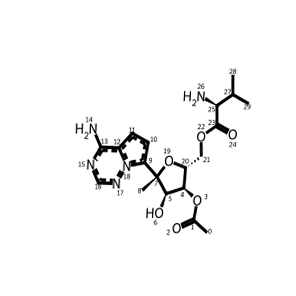 CC(=O)O[C@H]1[C@@H](O)[C@](C)(c2ccc3c(N)ncnn23)O[C@@H]1COC(=O)[C@@H](N)C(C)C